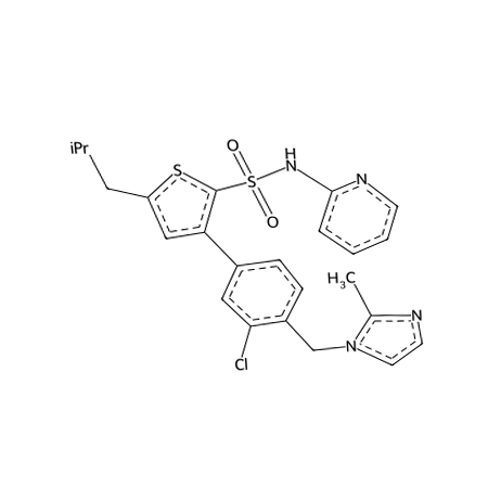 Cc1nccn1Cc1ccc(-c2cc(CC(C)C)sc2S(=O)(=O)Nc2ccccn2)cc1Cl